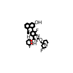 C#Cc1cccc2cc(O)cc(-c3c(F)cc4c(N5C[C@@]6(C)CC[C@H]5CN6)nc(OCC56CCCN5C[C@H](F)C6)nc4c3F)c12